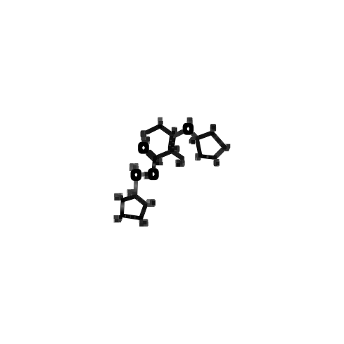 CCC(OC1CCCC1)=C(C)C(=O)OOC1CCCC1